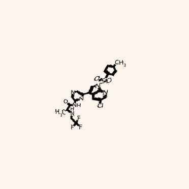 Cc1ccc(S(=O)(=O)n2cc(-c3cncc(NC(=O)[C@@H](C)NCC(F)(F)F)n3)c3cc(Cl)cnc32)cc1